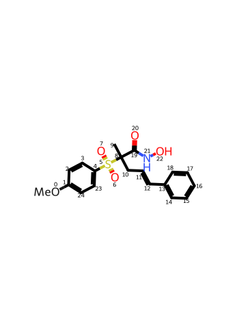 COc1ccc(S(=O)(=O)C(C)(CC=Cc2ccccc2)C(=O)NO)cc1